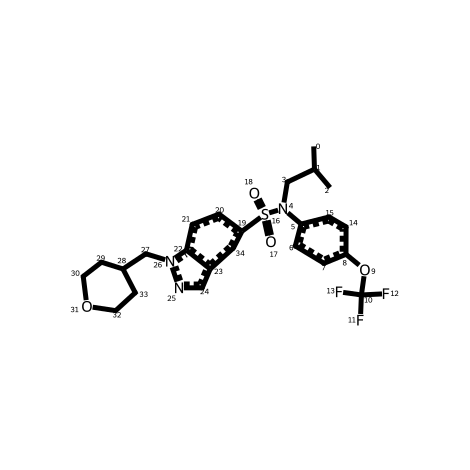 CC(C)CN(c1ccc(OC(F)(F)F)cc1)S(=O)(=O)c1ccc2c(cnn2CC2CCOCC2)c1